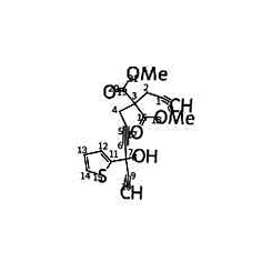 C#CCC(CC#CC(O)(C#C)c1cccs1)(C(=O)OC)C(=O)OC